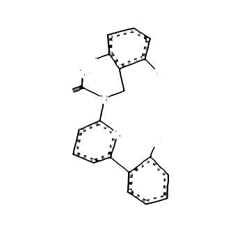 NC(=O)N(Cc1c(Cl)cccc1Cl)c1cccc(-c2ccccc2Cl)n1